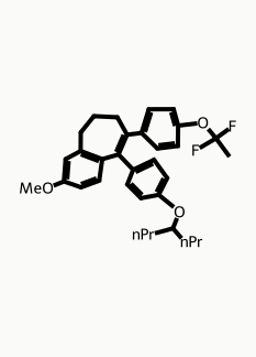 CCCC(CCC)Oc1ccc(C2=C(c3ccc(OC(C)(F)F)cc3)CCCc3cc(OC)ccc32)cc1